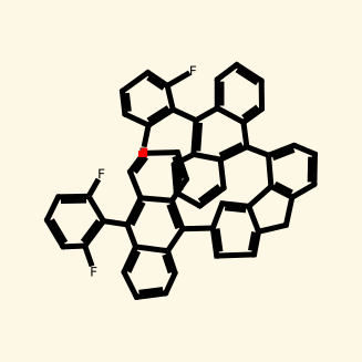 Fc1cccc(F)c1-c1c2ccccc2c(-c2ccc3c(c2)-c2c(cccc2-c2c4ccccc4c(-c4c(F)cccc4F)c4ccccc24)C3)c2ccccc12